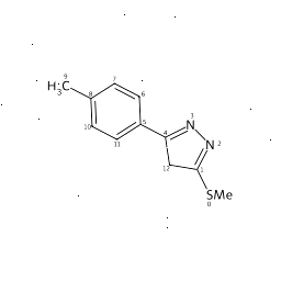 CSC1=NN=C(c2ccc(C)cc2)C1